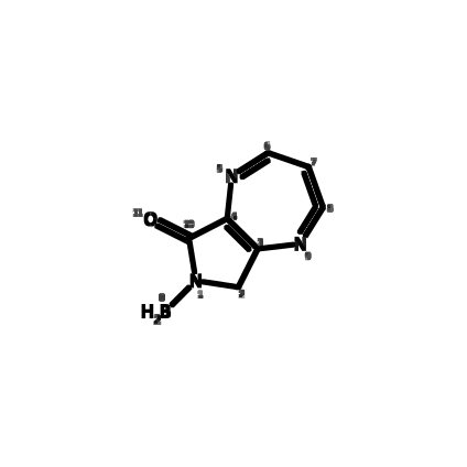 BN1CC2=C(N=CC=C=N2)C1=O